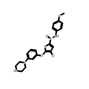 COc1ccc(N[S+]([O-])c2cc(Cl)c(Oc3cccc(N4CCNCC4)c3)s2)cc1